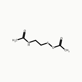 CC(=O)NCCSOC(C)=O